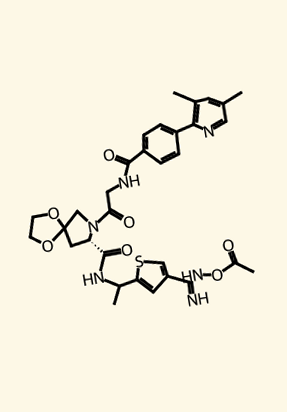 CC(=O)ONC(=N)c1csc(C(C)NC(=O)[C@@H]2CC3(CN2C(=O)CNC(=O)c2ccc(-c4ncc(C)cc4C)cc2)OCCO3)c1